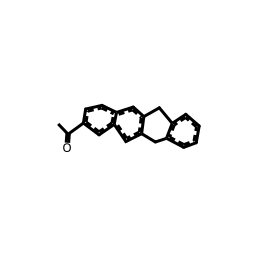 CC(=O)c1ccc2cc3c(cc2c1)Cc1ccccc1C3